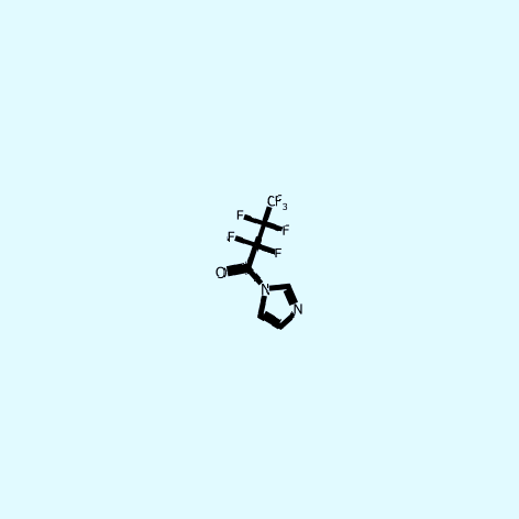 O=C(n1ccnc1)C(F)(F)C(F)(F)C(F)(F)F